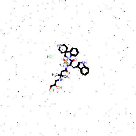 CC(C)(CC(=O)N[C@H](Cc1c[nH]c2ccccc12)C(=O)[N+]1(S(C)(=O)=O)CC2(CCNCC2)c2ccccc21)NC[C@@H](O)CO.Cl